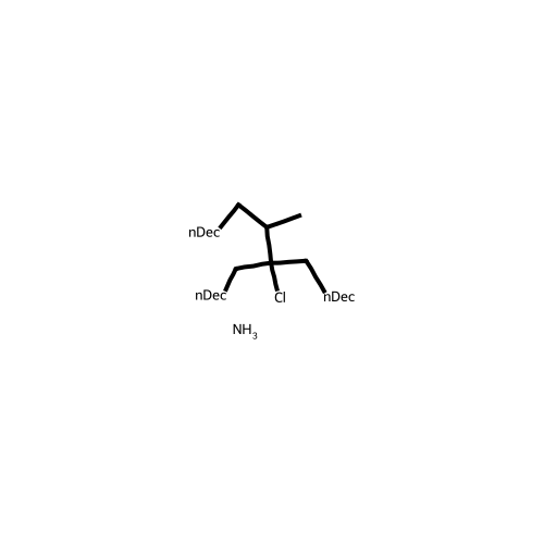 CCCCCCCCCCCC(C)C(Cl)(CCCCCCCCCCC)CCCCCCCCCCC.N